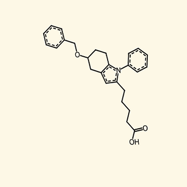 O=C(O)CCCCc1cc2c(n1-c1ccccc1)CCC(OCc1ccccc1)C2